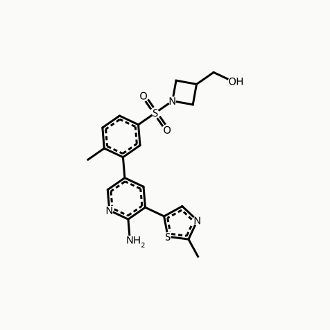 Cc1ncc(-c2cc(-c3cc(S(=O)(=O)N4CC(CO)C4)ccc3C)cnc2N)s1